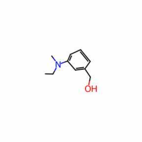 CCN(C)c1cccc(CO)c1